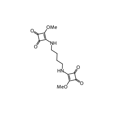 COc1c(NCCCCNc2c(OC)c(=O)c2=O)c(=O)c1=O